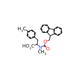 Cc1ccc(CC(C(=O)O)N(C)C(=O)OCC2c3ccccc3-c3ccccc32)cc1